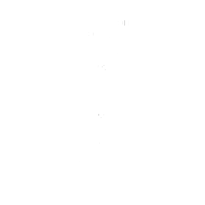 O=C(O)CSCCOCc1ccccc1